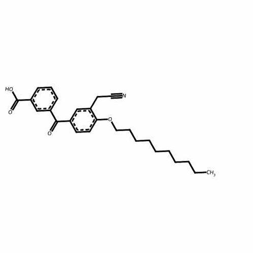 CCCCCCCCCCOc1ccc(C(=O)c2cccc(C(=O)O)c2)cc1CC#N